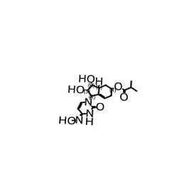 CC(C)C(=O)O[C@@H]1CC=C2[C@@H](n3ccc(=NO)[nH]c3=O)[C@H](O)[C@H](O)[C@H]2C1